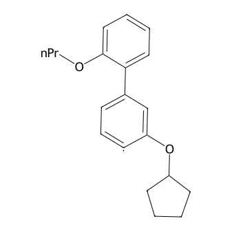 CCCOc1ccccc1-c1cc[c]c(OC2CCCC2)c1